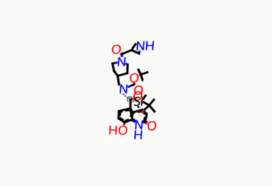 CC(C)(C)OC(=O)N(CC1CCN(C(=O)C2CNC2)CC1)C[C@H](O[Si](C)(C)C(C)(C)C)c1ccc(O)c2[nH]c(=O)ccc12